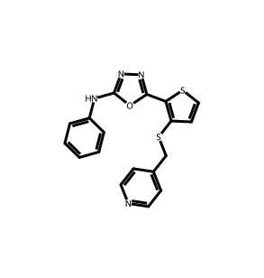 c1ccc(Nc2nnc(-c3sccc3SCc3ccncc3)o2)cc1